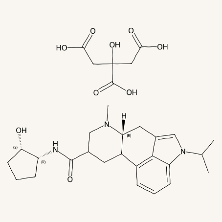 CC(C)n1cc2c3c(cccc31)C1CC(C(=O)N[C@@H]3CCC[C@@H]3O)CN(C)[C@@H]1C2.O=C(O)CC(O)(CC(=O)O)C(=O)O